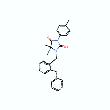 Cc1ccc(N2C(=O)N(Cc3ccccc3Cc3ccccc3)C(C)(C)C2=O)cc1